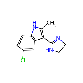 Cc1[nH]c2ccc(Cl)cc2c1C1=NCCN1